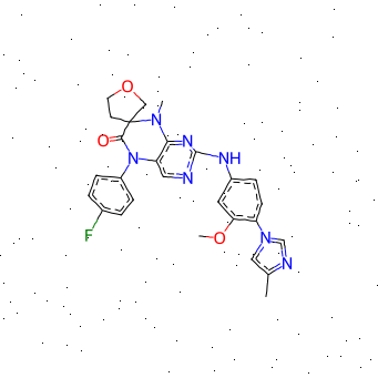 COc1cc(Nc2ncc3c(n2)N(C)C2(CCOC2)C(=O)N3c2ccc(F)cc2)ccc1-n1cnc(C)c1